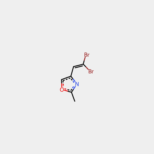 Cc1nc(C=C(Br)Br)co1